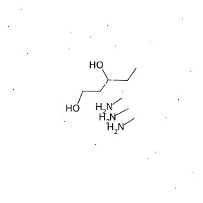 CCC(O)CCO.CN.CN.CN